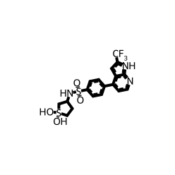 O=S(=O)(NC1CCS(O)(O)C1)c1ccc(-c2ccnc3[nH]c(C(F)(F)F)cc23)cc1